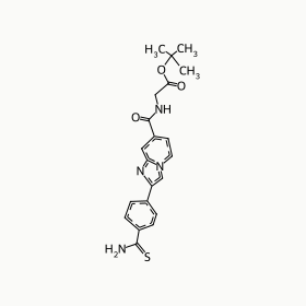 CC(C)(C)OC(=O)CNC(=O)c1ccn2cc(-c3ccc(C(N)=S)cc3)nc2c1